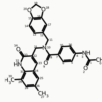 CC(=O)Nc1ccc(C(=O)N(Cc2ccc3c(c2)OCO3)Cc2cc3cc(C)cc(C)c3[nH]c2=O)cc1